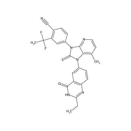 CCc1nc2ccc(-n3c(=S)n(-c4ccc(C#N)c(C(C)(F)F)c4)c4nccc(C)c43)cc2c(=O)[nH]1